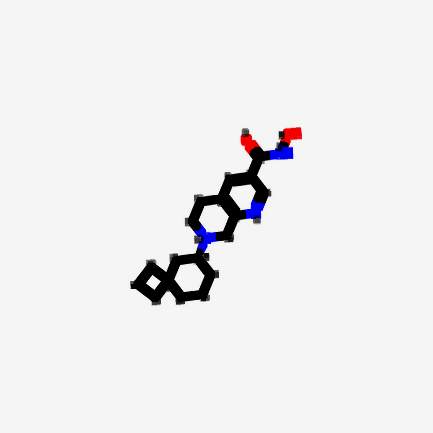 O=C(NO)c1cnc2c(c1)CCN([C@H]1CCCC3(CCC3)C1)C2